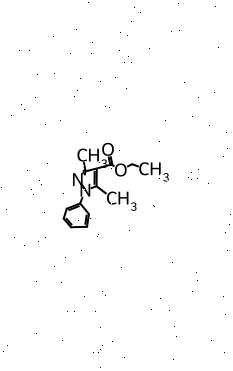 CCOC(=O)c1c(C)nn(-c2ccccc2)c1C